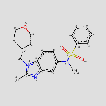 CCCCc1nc2cc(N(C)S(=O)(=O)c3ccccc3)ccc2n1CC1CCOCC1